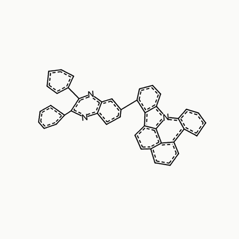 c1ccc(-c2nc3ccc(-c4cccc5c4c4ccc6cccc7c8ccccc8n5c4c67)cc3nc2-c2ccccc2)cc1